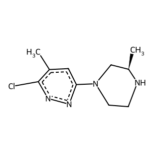 Cc1cc(N2CCN[C@H](C)C2)nnc1Cl